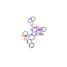 Cn1c(Oc2cc(OC3CCCCO3)cc3ccccc23)nc2c(N3CC4CCC(C3)N4C(=O)OC(C)(C)C)nc(OCC34CCCN3CCC4)nc21